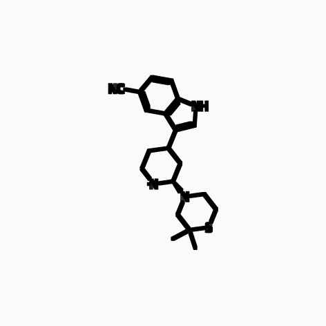 CC1(C)CN([C@@H]2CC(c3c[nH]c4ccc(C#N)cc34)CC[N]2)CCS1